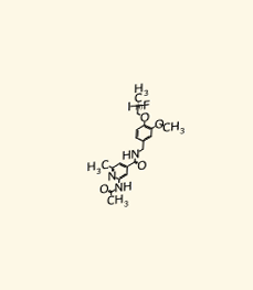 COc1cc(CNC(=O)c2cc(C)nc(NC(C)=O)c2)ccc1OC[C@](C)(F)I